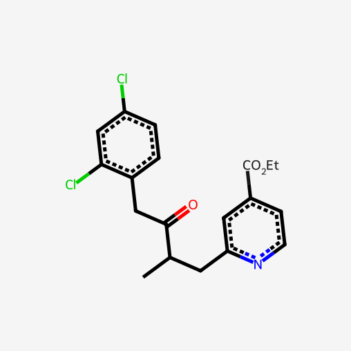 CCOC(=O)c1ccnc(CC(C)C(=O)Cc2ccc(Cl)cc2Cl)c1